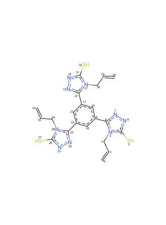 C=CCn1c(S)nnc1-c1cc(-c2nnc(S)n2CC=C)cc(-c2nnc(S)n2CC=C)c1